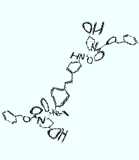 O=C(Nc1ccc(/C=C/c2ccc(NC(=O)[C@@H]3C[C@H](O)CN3C(=O)OCc3ccccc3)cc2)cc1)[C@@H]1C[C@H](O)CN1C(=O)OCc1ccccc1